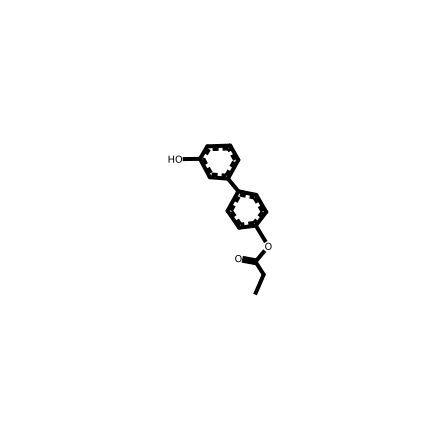 CCC(=O)Oc1ccc(-c2cccc(O)c2)cc1